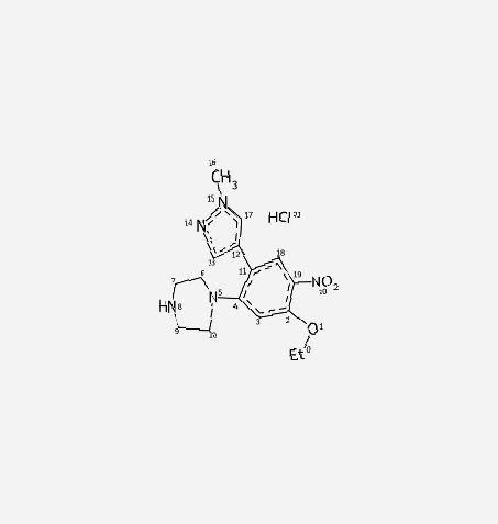 CCOc1cc(N2CCNCC2)c(-c2cnn(C)c2)cc1[N+](=O)[O-].Cl